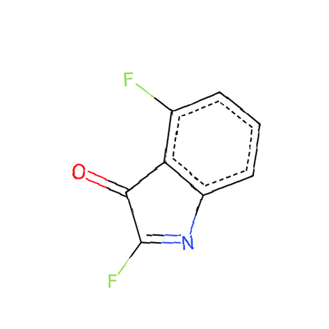 O=C1C(F)=Nc2cccc(F)c21